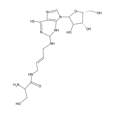 NC(CO)C(=O)NC/C=C/CNC1N=C(S)c2ncn(C3O[C@H](CO)[C@H](O)C3O)c2N1